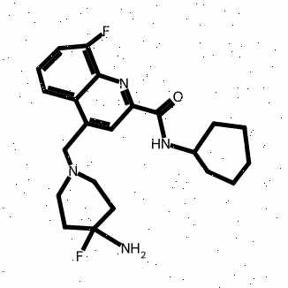 NC1(F)CCN(Cc2cc(C(=O)NC3CCCCC3)nc3c(F)cccc23)CC1